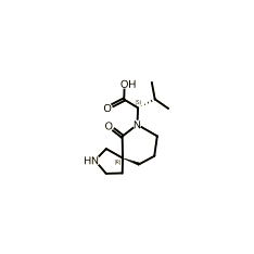 CC(C)[C@@H](C(=O)O)N1CCC[C@]2(CCNC2)C1=O